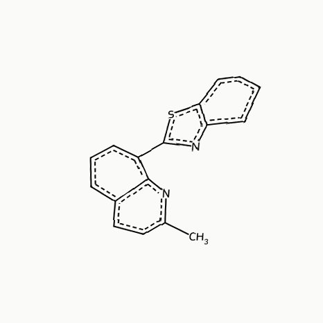 Cc1ccc2cccc(-c3nc4ccccc4s3)c2n1